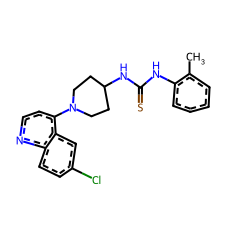 Cc1ccccc1NC(=S)NC1CCN(c2ccnc3ccc(Cl)cc23)CC1